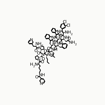 CCCC[C@H](NC(=O)[C@H](CC(C)C)NC(=O)[C@@H](Cc1c[nH]c2ccccc12)NC(=O)[C@H](Cc1ccccc1)NC(=O)[C@@H](Cc1c[nH]c2ccccc12)NC(=O)[C@H](CC(N)=O)NC(=O)[C@H](N)Cc1ccc(Cl)c(Cl)c1)C(=O)N(C(=O)[C@@H]1CCCN1C(=O)[C@H](N)CCCCNC(=O)c1cccnc1)C(=O)[C@@H]1CCCN1C(=O)[C@@H](N)Cc1cccnc1